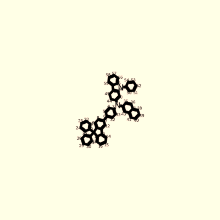 C1=C(N(c2ccc(-c3ccc4c(c3)-c3ccccc3C4(c3ccccc3)c3ccccc3)cc2)c2ccc3ccccc3c2)CCc2c1n(-c1ccccc1)c1ccccc21